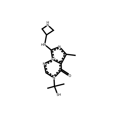 Cc1nc(NC2CNC2)n2ncn(C(C)(C)S)c(=O)c12